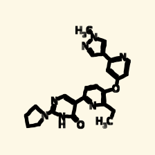 CCc1nc(-c2cnc(N3CCCC3)[nH]c2=O)ccc1Oc1ccnc(-c2cnn(C)c2)c1